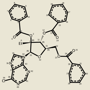 CC[C@@]1(OC(=O)c2ccccc2)[C@H](OC(=O)c2ccccc2)[C@@H](COC(=O)c2ccccc2)O[C@H]1n1cnc2c(Cl)ncnc21